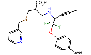 CC#CC(NCC(CSCc1cccnc1)C(=O)O)C(F)(F)Oc1ccc(SC)cc1